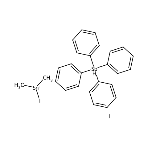 [CH3][Sn+]([CH3])[I].[I-].c1cc[c]([SbH]([c]2ccccc2)([c]2ccccc2)[c]2ccccc2)cc1